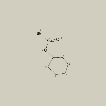 CC(C)(C)[PH](=O)OC1CCCCC1